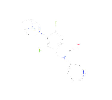 O=C1c2cc(F)c(N3CC4CC(C3)N4)c(F)c2CN1C1CCCNC1